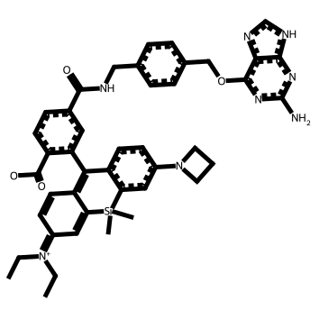 CC[N+](CC)=C1C=CC2=C(c3cc(C(=O)NCc4ccc(COc5nc(N)nc6[nH]cnc56)cc4)ccc3C(=O)[O-])c3ccc(N4CCC4)cc3[Si](C)(C)C2=C1